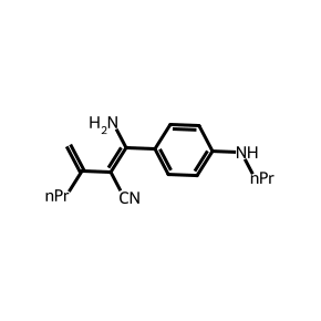 C=C(CCC)/C(C#N)=C(\N)c1ccc(NCCC)cc1